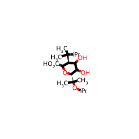 CC(C)OC(C)(C)[C@@H]1OC(C(=O)O)[C@@H](C(C)(C)C(C)C)C(O)C1O